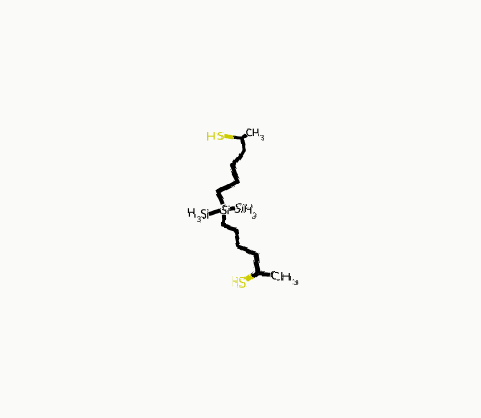 CC(S)CCCC[Si]([SiH3])([SiH3])CCCCC(C)S